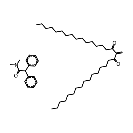 C=C(C(=O)CCCCCCCCCCCCCCC)C(=O)CCCCCCCCCCCCCCC.CN(C)C(=O)C(c1ccccc1)c1ccccc1